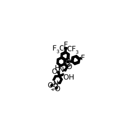 CS(=O)(=O)N1CCC(CO)(C(=O)N2CC[C@]3(S(=O)(=O)c4ccc(F)cc4)c4ccc(C(F)(C(F)(F)F)C(F)(F)F)cc4CC[C@H]23)CC1